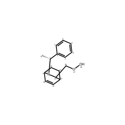 C[C@H](c1ccccc1)N1C2C=CC(CC2)C1COO